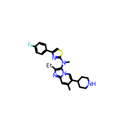 CCc1nc2cc(C)c(C3CCNCC3)cn2c1N(C)c1nc(-c2ccc(F)cc2)cs1